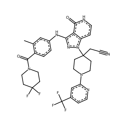 Cc1cc(Nc2nn(C3(CC#N)CCN(c4cc(C(F)(F)F)ccn4)CC3)c3cc[nH]c(=O)c23)ccc1C(=O)N1CCC(F)(F)CC1